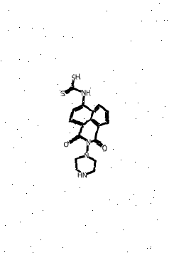 O=C1c2cccc3c(NC(=S)S)ccc(c23)C(=O)N1N1CCNCC1